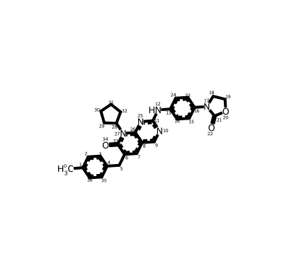 Cc1ccc(Cc2cc3cnc(Nc4ccc(N5CCOC5=O)cc4)nc3n(C3CCCC3)c2=O)cc1